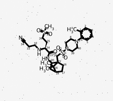 Cc1ccccc1N1CCN(S(=O)(=O)CC23CCC(CC2NC(=O)[C@H](CCS(C)(=O)=O)NCCC#N)C3(C)C)CC1